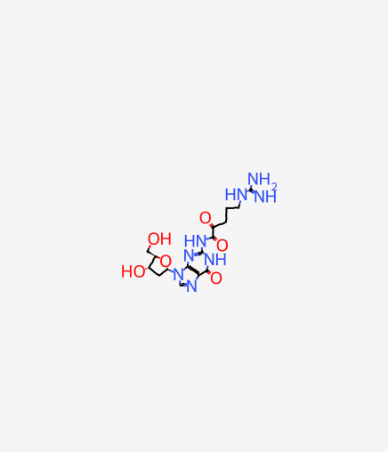 N=C(N)NCCCC(=O)C(=O)Nc1nc2c(ncn2[C@H]2C[C@H](O)[C@@H](CO)O2)c(=O)[nH]1